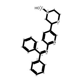 O=C(O)N1CCOC(c2ccc(N=C(c3ccccc3)c3ccccc3)nc2)C1